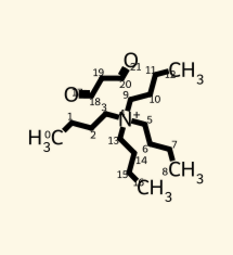 CCCC[N+](CCCC)(CCCC)CCCC.O=CCC=O